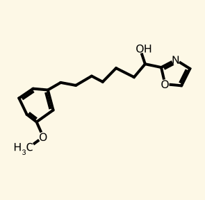 COc1cccc(CCCCCCC(O)c2ncco2)c1